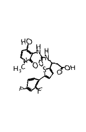 Cn1ccc(O)c(NC(=O)NC(CC(=O)O)c2ccc(-c3ccc(F)cc3F)s2)c1=O